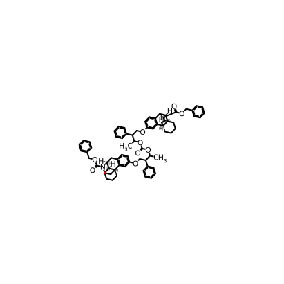 CC(OC(=O)OC(C)C(COc1ccc2c(c1)[C@@]13CCCC[C@H]1[C@@H](C2)N(C(=O)OCc1ccccc1)CC3)c1ccccc1)C(COc1ccc2c(c1)[C@@]13CCCC[C@H]1[C@@H](C2)N(C(=O)OCc1ccccc1)CC3)c1ccccc1